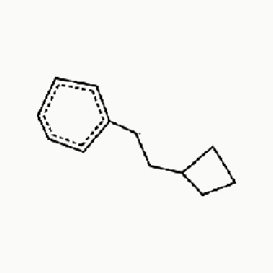 [CH](CC1CCC1)c1ccccc1